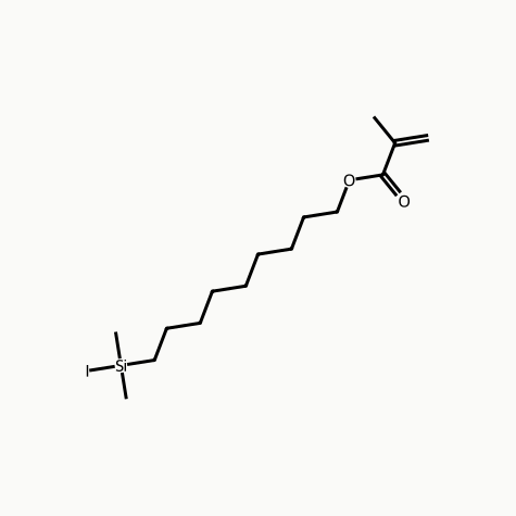 C=C(C)C(=O)OCCCCCCCCC[Si](C)(C)I